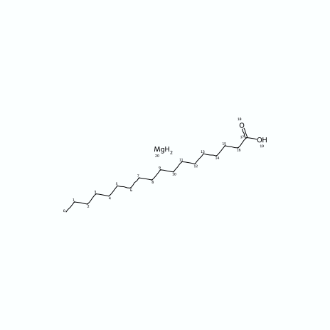 CCCCCCCCCCCCCCCCCC(=O)O.[MgH2]